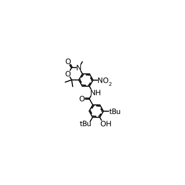 CN1C(=O)OC(C)(C)c2cc(NC(=O)c3cc(C(C)(C)C)c(O)c(C(C)(C)C)c3)c([N+](=O)[O-])cc21